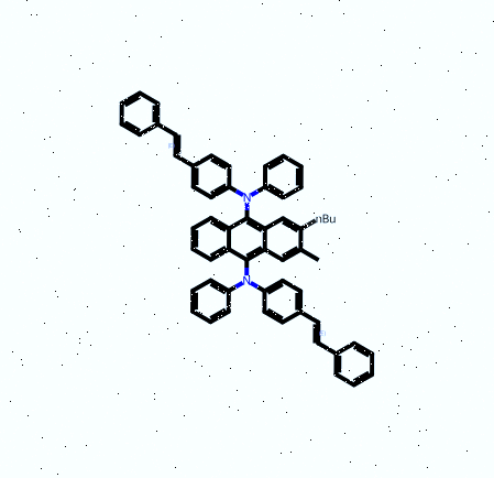 CCCCc1cc2c(N(c3ccccc3)c3ccc(/C=C/c4ccccc4)cc3)c3ccccc3c(N(c3ccccc3)c3ccc(/C=C/c4ccccc4)cc3)c2cc1C